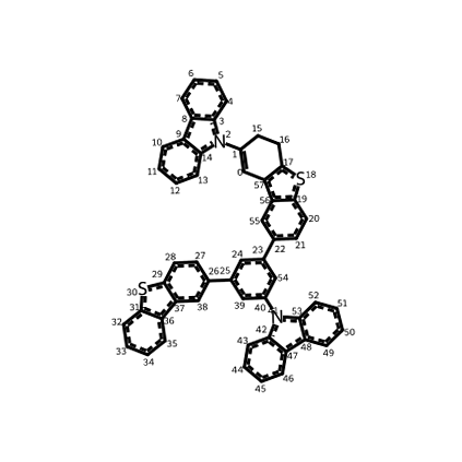 C1=C(n2c3ccccc3c3ccccc32)CCc2sc3ccc(-c4cc(-c5ccc6sc7ccccc7c6c5)cc(-n5c6ccccc6c6ccccc65)c4)cc3c21